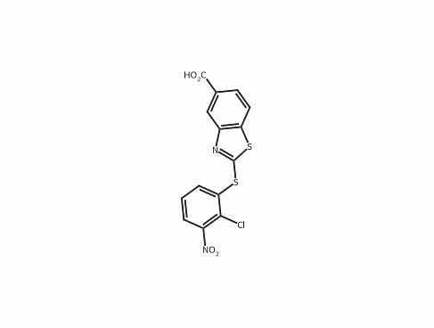 O=C(O)c1ccc2sc(Sc3cccc([N+](=O)[O-])c3Cl)nc2c1